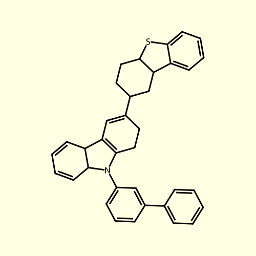 C1=CC2C3=C(CCC(C4CCC5Sc6ccccc6C5C4)=C3)N(c3cccc(-c4ccccc4)c3)C2C=C1